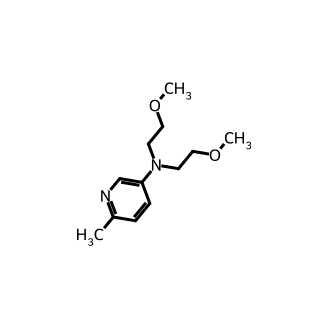 COCCN(CCOC)c1ccc(C)nc1